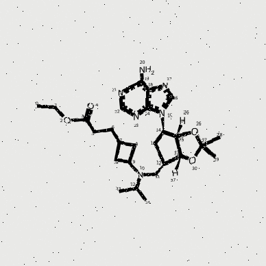 CCOC(=O)CCC1CC(N(C[C@H]2C[C@@H](n3cnc4c(N)ncnc43)[C@@H]3OC(C)(C)O[C@H]23)C(C)C)C1